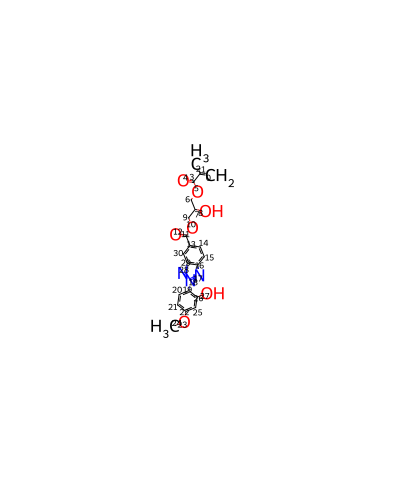 C=C(C)C(=O)OCC(O)COC(=O)c1ccc2nn(-c3ccc(OC)cc3O)nc2c1